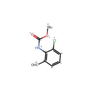 CC(C)(C)OC(=O)Nc1c(Cl)cccc1C=O